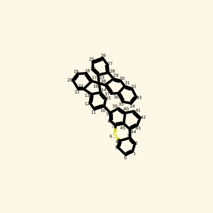 c1ccc2c(c1)Sc1cc(-c3ccc4c(c3)C3(c5ccccc5-4)c4ccccc4-c4cc5ccccc5cc43)cc3cccc-2c13